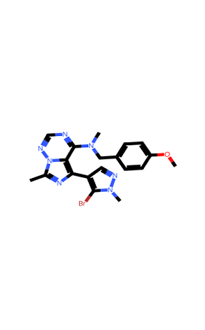 COc1ccc(CN(C)c2ncnn3c(C)nc(-c4cnn(C)c4Br)c23)cc1